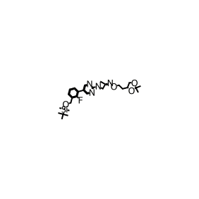 CC1(C)OCC(CCON=C2CN(c3ncc(-c4cccc(CO[Si](C)(C)C(C)(C)C)c4F)cn3)C2)O1